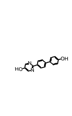 Oc1ccc(-c2ccc(-c3ncc(O)cn3)cc2)cc1